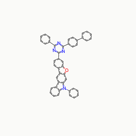 c1ccc(-c2ccc(-c3nc(-c4ccccc4)nc(-c4ccc5c(c4)oc4cc6c(cc45)c4ccccc4n6-c4ccccc4)n3)cc2)cc1